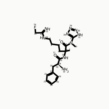 CN(C(=O)C(C)(CCCCNC(=N)CF)NC(=O)[C@@H](N)Cc1ccccc1)c1nnn[nH]1